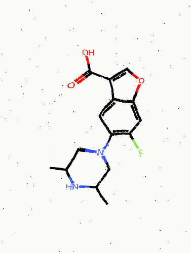 CC1CN(c2cc3c(C(=O)O)coc3cc2F)CC(C)N1